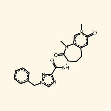 CN1C(=O)[C@@H](NC(=O)c2ncn(Cc3ccccc3)n2)CCc2cc(=O)n(C)cc21